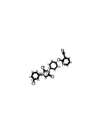 N#Cc1cccnc1O[C@H]1CC[C@H](N2C(=O)CN(c3cccc(Cl)c3)C2=O)CC1